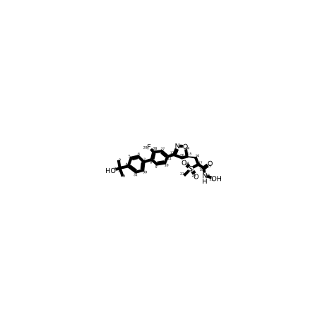 CC(C)(O)c1ccc(-c2ccc(C3=NO[C@@H](CC(C(=O)NO)S(C)(=O)=O)C3)cc2F)cc1